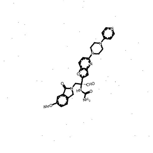 COc1ccc2c(c1)C(=O)N(C[C@](C=O)(NC(N)=O)c1cc3nc(N4CCN(c5ccncc5)CC4)ccc3o1)C2